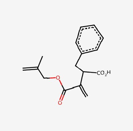 C=C(C)COC(=O)C(=C)C(Cc1ccccc1)C(=O)O